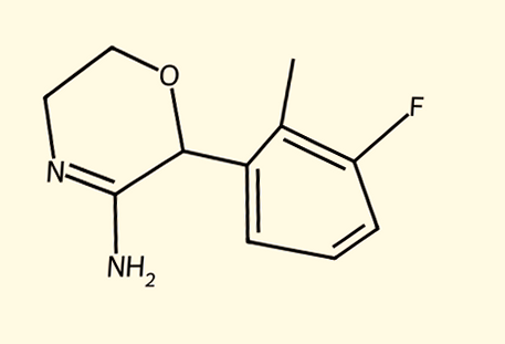 Cc1c(F)cccc1C1OCCN=C1N